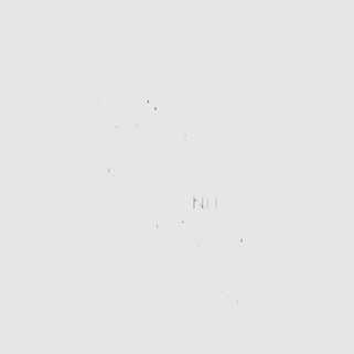 O=C(Nc1ccc(-c2csc(C3CC3)n2)c(Cl)c1)c1ccc(Cl)cc1Cl